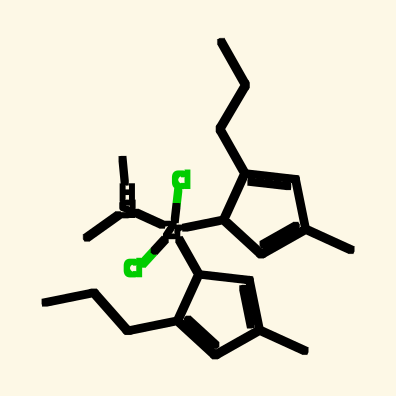 CCCC1=CC(C)=C[CH]1[Zr]([Cl])([Cl])([CH]1C=C(C)C=C1CCC)[SiH](C)C